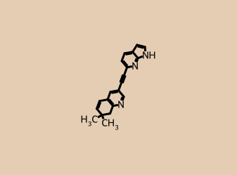 CC1(C)C=Cc2cc(C#Cc3ccc4cc[nH]c4n3)cnc2C1